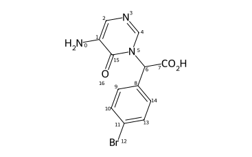 Nc1cncn(C(C(=O)O)c2ccc(Br)cc2)c1=O